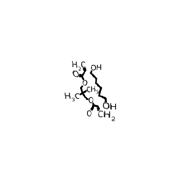 C=CC(=O)OCC(C)(C)COC(=O)C=C.OCCCCCCO